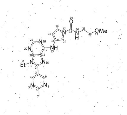 CCn1c(-c2cnc(C)nc2)nc2c(Nc3ccn(C(=O)NCCOC)c3)ncnc21